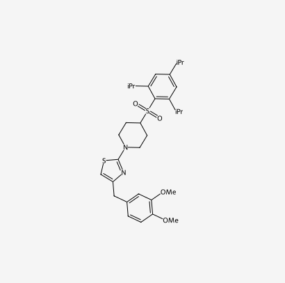 COc1ccc(Cc2csc(N3CCC(S(=O)(=O)c4c(C(C)C)cc(C(C)C)cc4C(C)C)CC3)n2)cc1OC